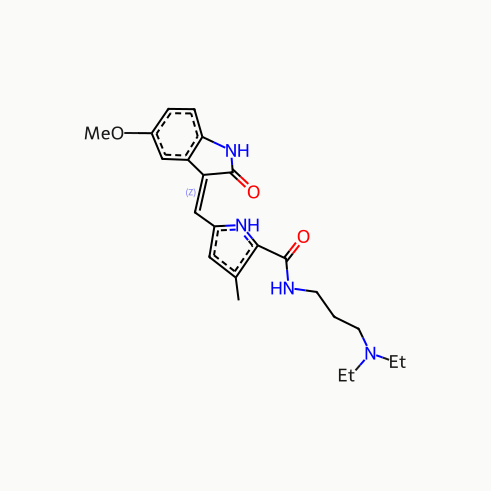 CCN(CC)CCCNC(=O)c1[nH]c(/C=C2\C(=O)Nc3ccc(OC)cc32)cc1C